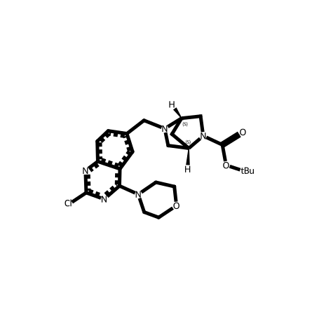 CC(C)(C)OC(=O)N1C[C@@H]2C[C@H]1CN2Cc1ccc2nc(Cl)nc(N3CCOCC3)c2c1